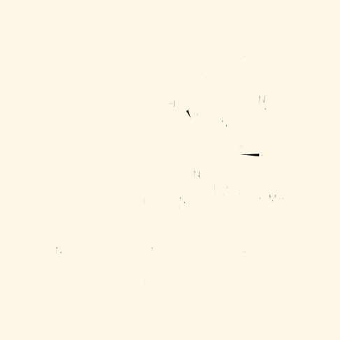 C=C(OC)c1cccc(-c2ccc(C#N)cc2)c1N(C)N1C[C@@H](C)N(c2nccs2)[C@@H](C)C1